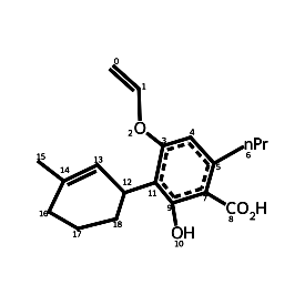 C=COc1cc(CCC)c(C(=O)O)c(O)c1C1C=C(C)CCC1